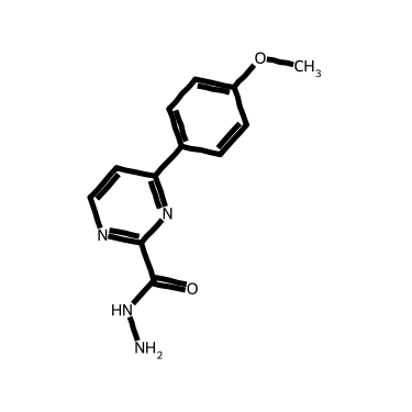 COc1ccc(-c2ccnc(C(=O)NN)n2)cc1